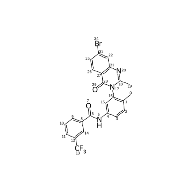 Cc1ccc(NC(=O)c2cccc(C(F)(F)F)c2)cc1-n1c(C)nc2cc(Br)ccc2c1=O